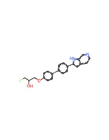 OC(CF)COc1ccc(-c2ccc(-c3cc4ccncc4[nH]3)cc2)cc1